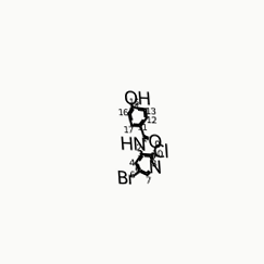 O=C(Nc1cc(Br)cnc1Cl)c1ccc(O)cc1